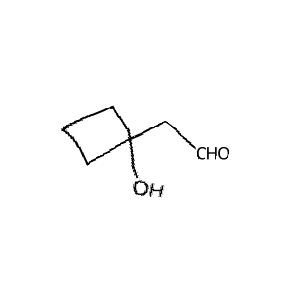 O=CCC1(O)CCC1